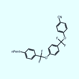 CCCCCc1ccc(C(F)(F)Oc2ccc(C(F)(F)Oc3ccc(C#N)cc3)cc2)cc1